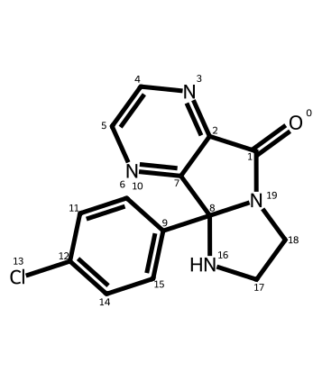 O=C1c2nccnc2C2(c3ccc(Cl)cc3)NCCN12